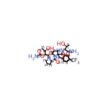 CC(O)C(NC(=O)C1(Cc2ccc(C(F)(F)F)cc2)CCCN1C(=O)[C@@H]1CCCN1C(=O)C(OC(N)=O)C(C)O)C(N)=O